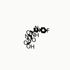 O=C(O)Cn1cnc2c(c1=O)N[C@H](c1cnn(-c3ccc(F)cc3)c1)CO2